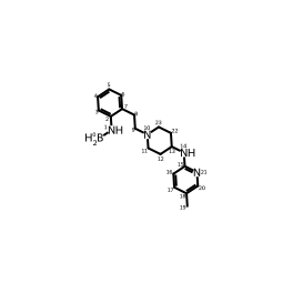 BNc1ccccc1CCN1CCC(Nc2ccc(C)cn2)CC1